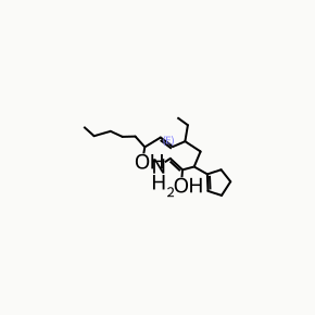 CCCCCC(O)/C=C/C(CC)CC(C(O)=CN)C1=CCCC1